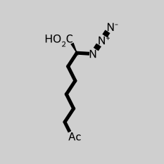 CC(=O)CCCCC[C@H](N=[N+]=[N-])C(=O)O